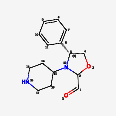 O=CC1OC[C@@H](c2ccccc2)N1C1CCNCC1